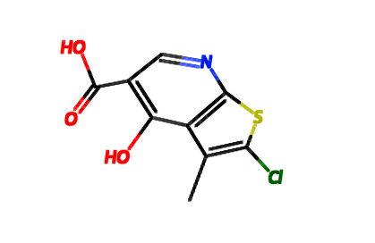 Cc1c(Cl)sc2ncc(C(=O)O)c(O)c12